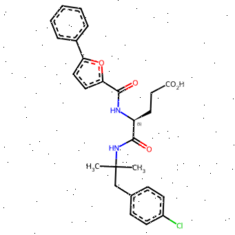 CC(C)(Cc1ccc(Cl)cc1)NC(=O)[C@H](CCC(=O)O)NC(=O)c1ccc(-c2ccccc2)o1